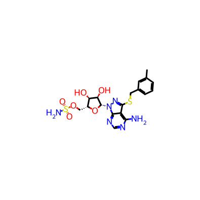 Cc1cccc(CSc2nn([C@@H]3O[C@H](COS(N)(=O)=O)[C@@H](O)[C@H]3O)c3ncnc(N)c23)c1